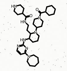 O=C(NCCC1C(Nc2nccc(N3CCCCCC3)n2)CCCN1C1CCN(C(=O)C2CCCCC2)CC1)C1CCNCC1